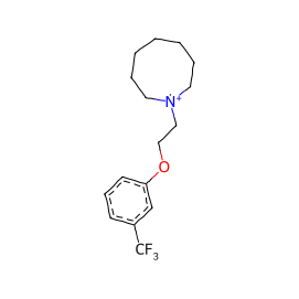 FC(F)(F)c1cccc(OCC[N+]2CCCCCCC2)c1